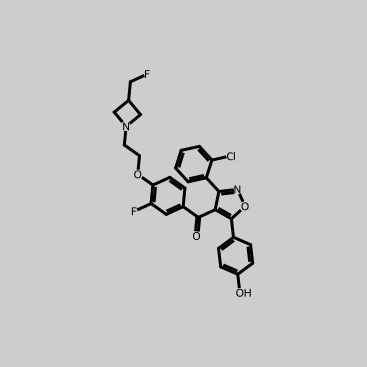 O=C(c1ccc(OCCN2CC(CF)C2)c(F)c1)c1c(-c2ccccc2Cl)noc1-c1ccc(O)cc1